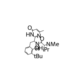 CNC(C(=O)NC(Cc1cccc(C(C)(C)C)c1O)c1nc(C)cc(=O)[nH]1)C(C)C